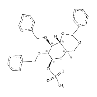 CS(=O)(=O)O[C@@H]1O[C@@H]2COC(c3ccccc3)O[C@H]2[C@H](OCc2ccccc2)[C@H]1OCc1ccccc1